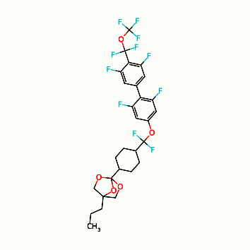 CCCC12COC(C3CCC(C(F)(F)Oc4cc(F)c(-c5cc(F)c(C(F)(F)OC(F)(F)F)c(F)c5)c(F)c4)CC3)(OC1)O2